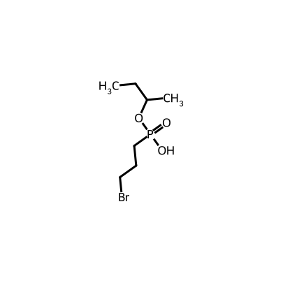 CCC(C)OP(=O)(O)CCCBr